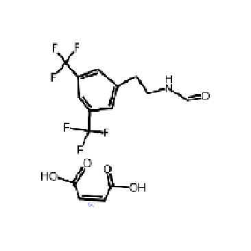 O=C(O)/C=C\C(=O)O.O=CNCCc1cc(C(F)(F)F)cc(C(F)(F)F)c1